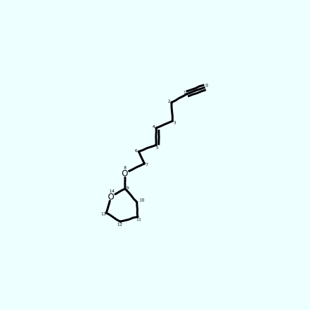 C#CCCC=CCCOC1CCCCO1